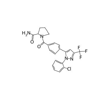 NC(=O)C1CCCN1C(=O)c1ccc(-c2cc(C(F)(F)F)nn2-c2ccccc2Cl)cc1